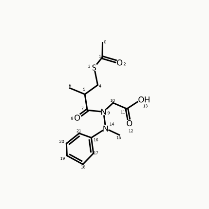 CC(=O)SCC(C)C(=O)N(CC(=O)O)N(C)c1ccccc1